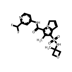 Cc1c(S(=O)(=O)NC2(C)COC2)c2n(c1C(=O)Nc1ccnc(C(F)F)c1)CC=C2